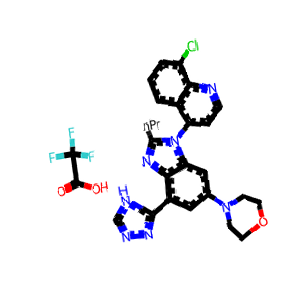 CCCc1nc2c(-c3nnc[nH]3)cc(N3CCOCC3)cc2n1-c1ccnc2c(Cl)cccc12.O=C(O)C(F)(F)F